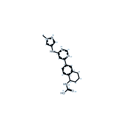 Cn1cc(Nc2cc(-c3ccc4c(c3)CCCC4NC(=O)O)ncn2)cn1